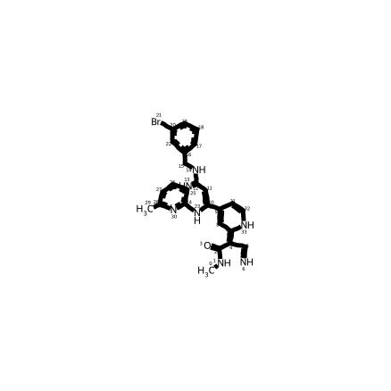 CNC(=O)/C(C=N)=C1C=C(/C(=C/C(=N)NCc2cccc(Br)c2)Nc2cccc(C)n2)C=CN\1